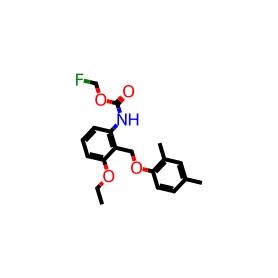 CCOc1cccc(NC(=O)OCF)c1COc1ccc(C)cc1C